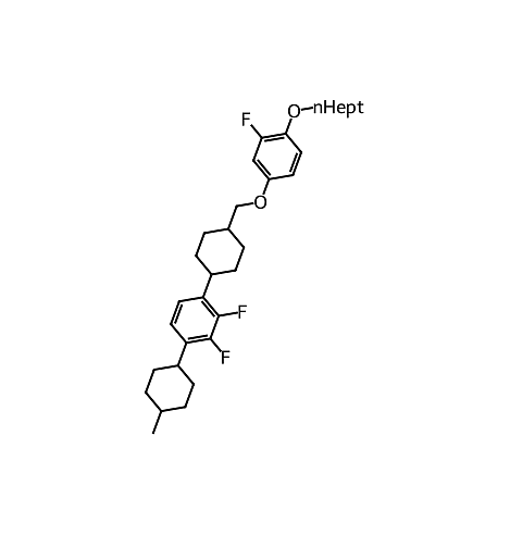 CCCCCCCOc1ccc(OCC2CCC(c3ccc(C4CCC(C)CC4)c(F)c3F)CC2)cc1F